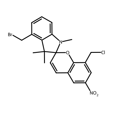 CN1c2cccc(CBr)c2C(C)(C)C12C=Cc1cc([N+](=O)[O-])cc(CCl)c1O2